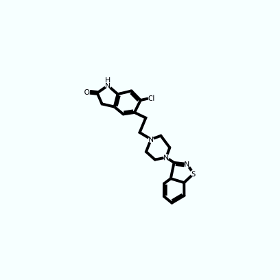 O=C1Cc2cc(CCN3CCN(C4=NSC5C=CC=CC45)CC3)c(Cl)cc2N1